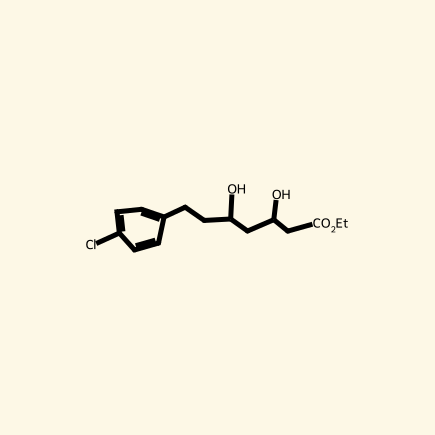 CCOC(=O)CC(O)CC(O)CCc1ccc(Cl)cc1